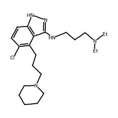 CCN(CC)CCCNc1n[nH]c2ccc(Cl)c(CCCN3CCCCC3)c12